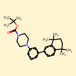 CC(C)(C)OC(=O)N1CCN(c2cccc(-c3ccc4c(c3)C(C)(C)CCC4(C)C)c2)CC1